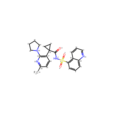 O=C(NS(=O)(=O)c1cccc2ncccc12)C1(c2ccc(C(F)(F)F)nc2N2CCCC2)CC1